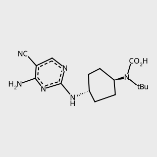 CC(C)(C)N(C(=O)O)[C@H]1CC[C@H](Nc2ncc(C#N)c(N)n2)CC1